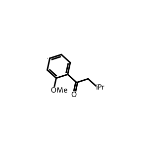 COc1c[c]ccc1C(=O)CC(C)C